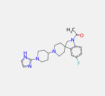 CC(=O)N1CC2(CCN(C3CCN(c4ncc[nH]4)CC3)CC2)c2cc(F)ccc21